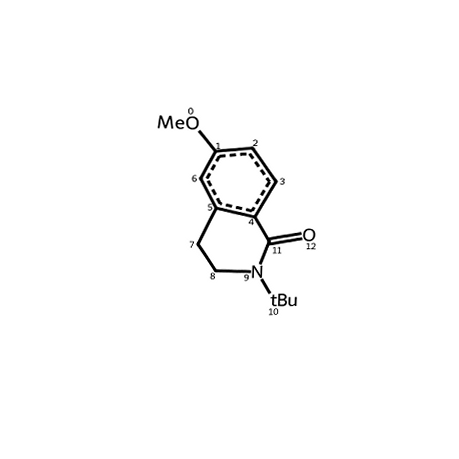 COc1ccc2c(c1)CCN(C(C)(C)C)C2=O